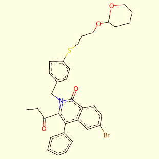 CCC(=O)c1c(-c2ccccc2)c2cc(Br)ccc2c(=O)n1Cc1ccc(SCCCOC2CCCCO2)cc1